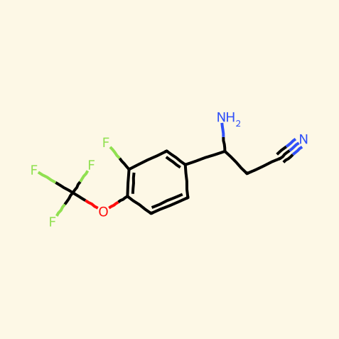 N#CCC(N)c1ccc(OC(F)(F)F)c(F)c1